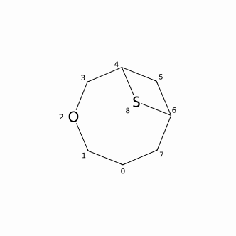 C1COCC2CC(C1)S2